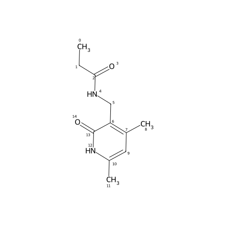 CCC(=O)NCc1c(C)cc(C)[nH]c1=O